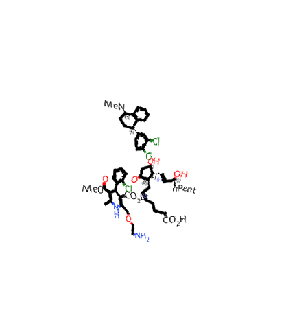 CCCCC[C@H](O)/C=C/[C@H]1[C@H](O)CC(=O)[C@@H]1C/C=C\CCCC(=O)O.CCOC(=O)C1=C(COCCN)NC(C)=C(C(=O)OC)C1c1ccccc1Cl.CN[C@H]1CC[C@@H](c2ccc(Cl)c(Cl)c2)c2ccccc21